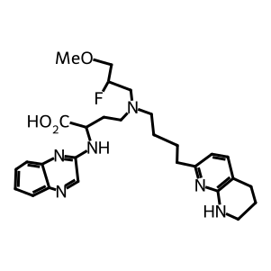 COCC(F)CN(CCCCc1ccc2c(n1)NCCC2)CCC(Nc1cnc2ccccc2n1)C(=O)O